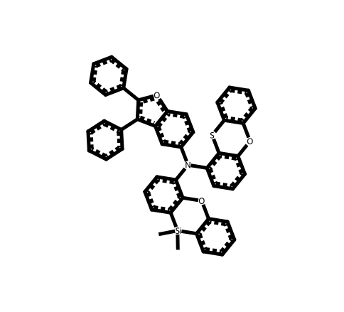 C[Si]1(C)c2ccccc2Oc2c(N(c3ccc4oc(-c5ccccc5)c(-c5ccccc5)c4c3)c3cccc4c3Sc3ccccc3O4)cccc21